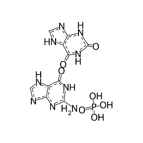 Nc1nc2nc[nH]c2c(=O)[nH]1.O=P(O)(O)O.O=c1[nH]c(=O)c2[nH]cnc2[nH]1